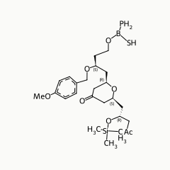 COc1ccc(CO[C@@H](CCOB(P)S)C[C@@H]2CC(=O)C[C@H](C[C@H](CC(C)=O)O[Si](C)(C)C)O2)cc1